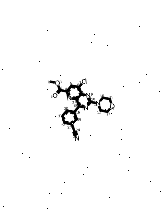 COC(=O)c1cc(Cl)c2nc(N3CCOCC3)nc(-c3cccc(C#N)c3)c2n1